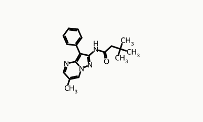 Cc1cnc2c(-c3ccccc3)c(NC(=O)CC(C)(C)C)nn2c1